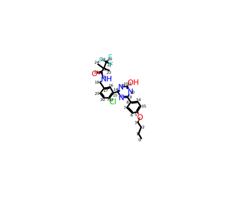 CCCCOc1ccc(-c2nc(O)nc(-c3cc(CNC(=O)C(C)(C)C(F)(F)F)ccc3Cl)n2)cc1